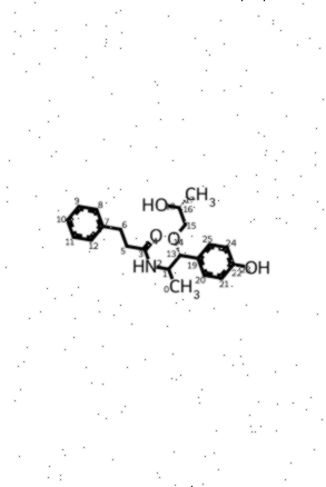 CC(NC(=O)CCc1ccccc1)[C@H](OC[C@@H](C)O)c1ccc(O)cc1